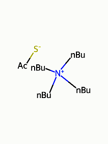 CC(=O)[S-].CCCC[N+](CCCC)(CCCC)CCCC